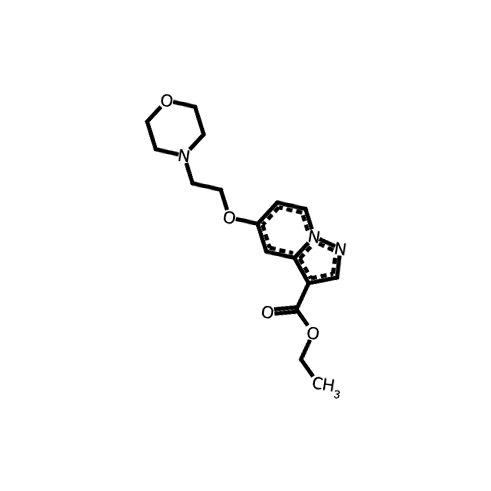 CCOC(=O)c1cnn2ccc(OCCN3CCOCC3)cc12